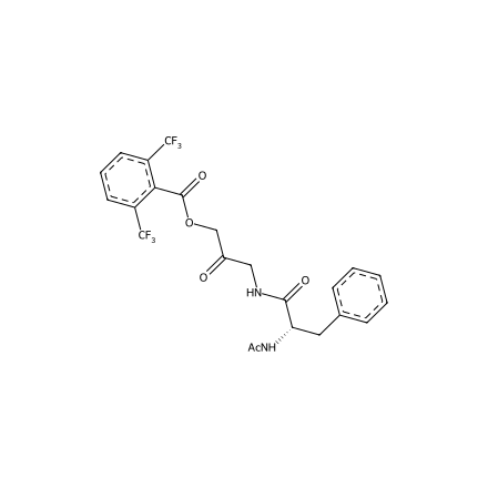 CC(=O)N[C@@H](Cc1ccccc1)C(=O)NCC(=O)COC(=O)c1c(C(F)(F)F)cccc1C(F)(F)F